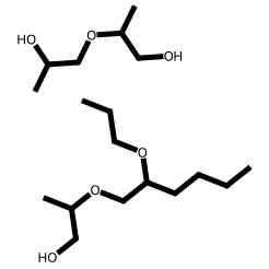 CC(O)COC(C)CO.CCCCC(COC(C)CO)OCCC